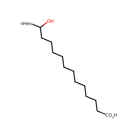 CCCCCCC(O)CCCCCCCCCCCC(=O)O